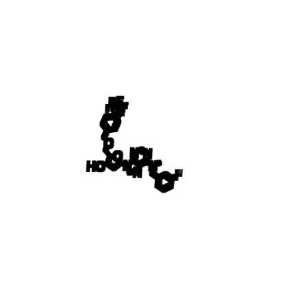 CN(Cc1cccc(F)c1)c1ncnc2c1ncn2[C@H]1C[C@H](O)[C@@H](COCc2ccc(S(F)(F)(F)(F)F)cc2)O1